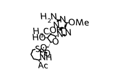 COc1nc(N)nc2c1ncn2[C@@H]1O[C@H](CO[P@@]2(=O)N[C@@H](C(C)=O)CCCS2)[C@@H](O)[C@@]1(C)O